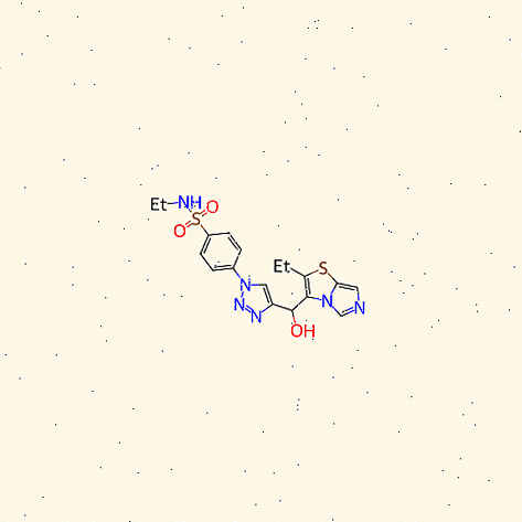 CCNS(=O)(=O)c1ccc(-n2cc(C(O)c3c(CC)sc4cncn34)nn2)cc1